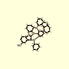 CC(C)(C)c1ccc2c(c1)c1c3n2-c2cccc4c2B3c2c(cccc2N4c2cccc3oc4ccccc4c23)N1c1ccccc1